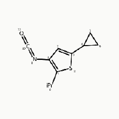 CC(C)c1sc(C2CC2)cc1N=C=O